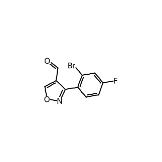 O=Cc1conc1-c1ccc(F)cc1Br